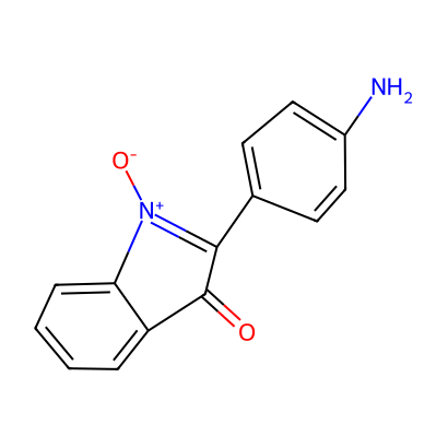 Nc1ccc(C2=[N+]([O-])c3ccccc3C2=O)cc1